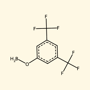 BOc1cc(C(F)(F)F)cc(C(F)(F)F)c1